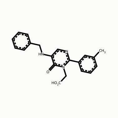 Cc1cccc(-c2ncc(NCc3ccccc3)c(=O)n2CC(=O)O)c1